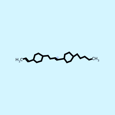 CC=CC1CCC(CC/C=C/C2CCC(CCCCC)CC2)CC1